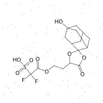 O=C1OC2(OC1CCOC(=O)C(F)(F)S(=O)(=O)O)C1CC3CC2CC(O)(C3)C1